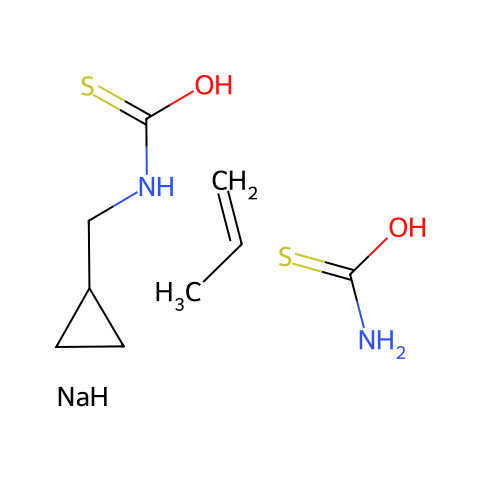 C=CC.NC(O)=S.OC(=S)NCC1CC1.[NaH]